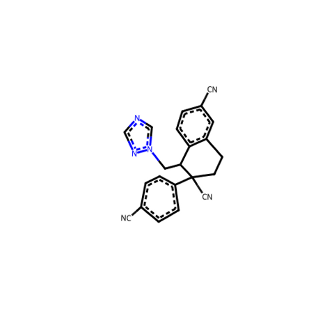 N#Cc1ccc(C2(C#N)CCc3cc(C#N)ccc3C2Cn2cncn2)cc1